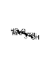 O=C(C=CC(=O)OCC(O)CO)OCC(O)CO